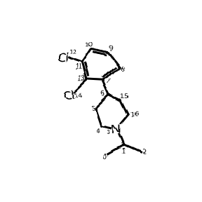 CC(C)N1CCC(c2cccc(Cl)c2Cl)CC1